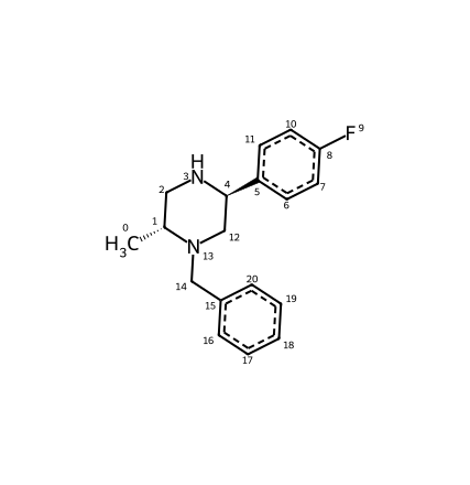 C[C@@H]1CN[C@@H](c2ccc(F)cc2)CN1Cc1ccccc1